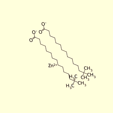 CC(C)(C)CCCCCCCCCCCCC(=O)[O-].CC(C)(C)CCCCCCCCCCCCC(=O)[O-].[Zn+2]